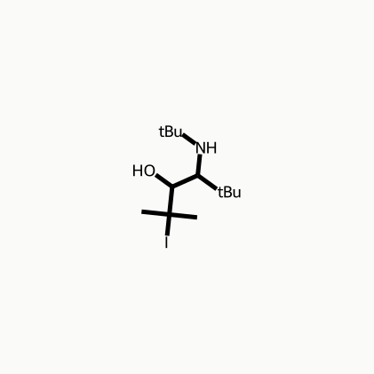 CC(C)(C)NC(C(O)C(C)(C)I)C(C)(C)C